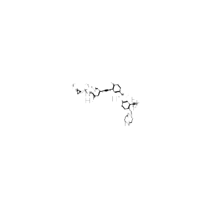 Cc1ccc(C(=O)Nc2ccc(CN3CCN(C)CC3)c(C(F)(F)F)c2)cc1C#Cc1cnc(NC(=O)[C@@H]2C[C@@H]2F)c(C)c1